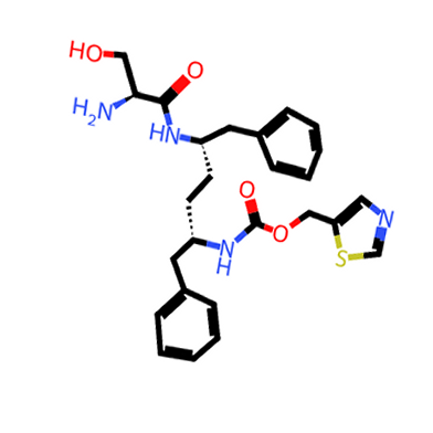 N[C@@H](CO)C(=O)N[C@@H](CC[C@@H](Cc1ccccc1)NC(=O)OCc1cncs1)Cc1ccccc1